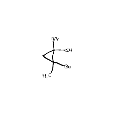 CCCC1(S)CC1(C)C(C)(C)C